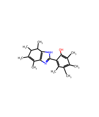 CC1=C(C)C(C)C(C)c2[nH]c(-c3c(C)c(C)c(C)c(C)c3O)nc21